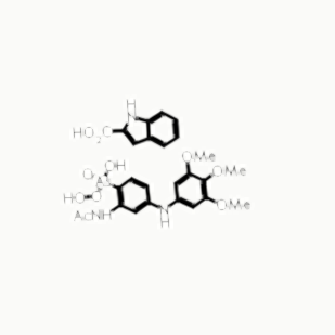 COc1cc(Nc2ccc([As](=O)(O)OO)c(NC(C)=O)c2)cc(OC)c1OC.O=C(O)c1cc2ccccc2[nH]1